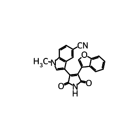 Cn1cc(C2=C(c3coc4ccccc34)C(=O)NC2=O)c2cc(C#N)ccc21